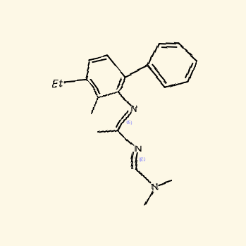 CCc1ccc(-c2ccccc2)c(/N=C(C)/N=C/N(C)C)c1C